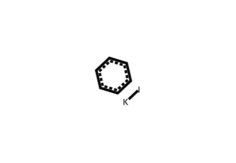 [K][I].c1ccccc1